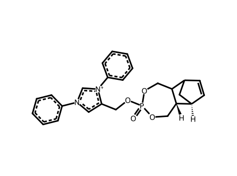 O=P1(OCc2cn(-c3ccccc3)c[n+]2-c2ccccc2)OCC2C3C=C[C@H](C3)[C@@H]2CO1